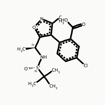 Cc1noc([C@H](C)N[S@@+]([O-])C(C)(C)C)c1-c1ccc(Cl)cc1C(=O)O